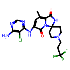 Cc1cc(Nc2ncnc(N)c2Cl)c(=O)n2c1C(=O)NC21CCN(CCC(F)(F)F)CC1